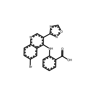 O=C(O)c1ccccc1Nc1c(-c2ncon2)cnc2ccc(Br)cc12